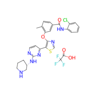 Cc1ccc(C(=O)Nc2ccccc2Cl)cc1Oc1ncsc1-c1ccnc(N[C@H]2CCCNC2)n1.O=C(O)C(F)(F)F